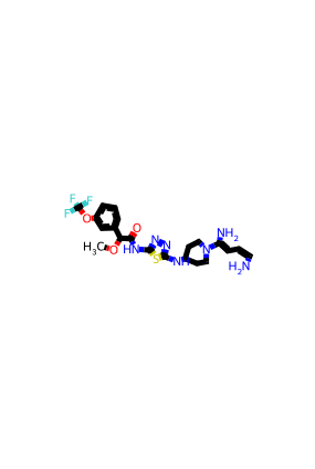 COC(C(=O)Nc1nnc(NC2CCN(/C(N)=C/C=C\N)CC2)s1)c1cccc(OC(F)(F)F)c1